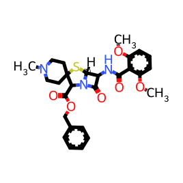 COc1cccc(OC)c1C(=O)NC1C(=O)N2C(C(=O)OCc3ccccc3)C3(CCN(C)CC3)S[C@H]12